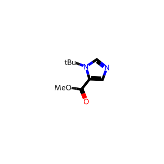 COC(=O)c1cncn1C(C)(C)C